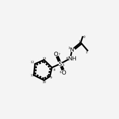 CC(C)=NNS(=O)(=O)c1ccccc1